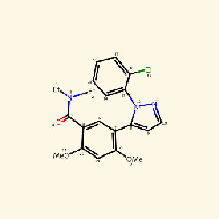 CCN(CC)C(=O)c1cc(-c2ccnn2-c2ccccc2Cl)c(OC)cc1OC